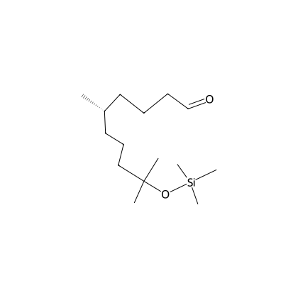 C[C@H](CCCC=O)CCCC(C)(C)O[Si](C)(C)C